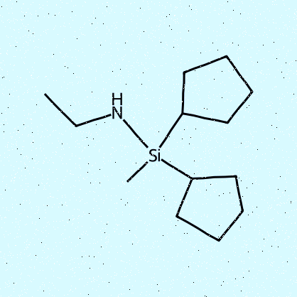 CCN[Si](C)(C1CCCC1)C1CCCC1